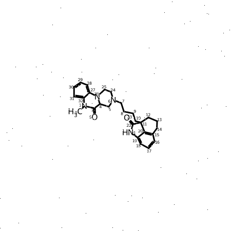 CN1C(=O)C2CN(CCCCC34CCCc5cccc(c53)NC4=O)CCN2c2ccccc21